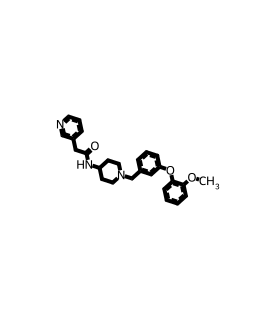 COc1ccccc1Oc1cccc(CN2CCC(NC(=O)Cc3cccnc3)CC2)c1